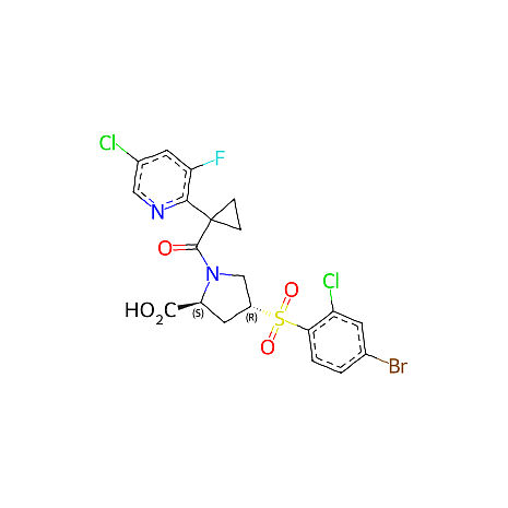 O=C(O)[C@@H]1C[C@@H](S(=O)(=O)c2ccc(Br)cc2Cl)CN1C(=O)C1(c2ncc(Cl)cc2F)CC1